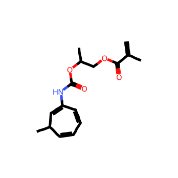 C=C(C)C(=O)OCC(C)OC(=O)NC1=CC(C)C=CC=C1